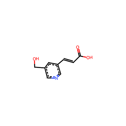 O=C(O)C=Cc1cn[c]c(CO)c1